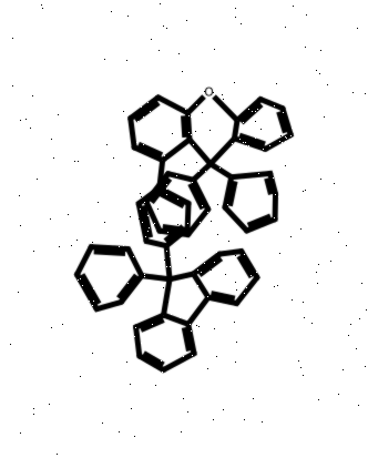 c1ccc(C2(c3ccc(-c4cccc5c4C(c4ccccc4)(c4ccccc4)c4ccccc4O5)cc3)c3ccccc3-c3ccccc32)cc1